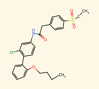 CCCCOc1ccccc1-c1ccc(NC(=O)Cc2ccc(S(=O)(=O)CC)cc2)cc1Cl